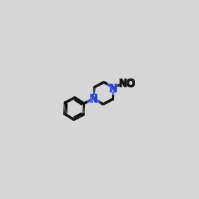 O=NN1CCN(c2ccccc2)CC1